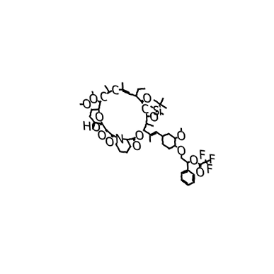 CCC1/C=C(\C)CC(C)CC(OC)C2OC(O)(C(=O)C(=O)N3CCCCC3C(=O)OC(C(C)=CC3CCC(OCC(OC(=O)C(F)(F)F)c4ccccc4)C(OC)C3)C(C)C(O[Si](C)(C)C(C)(C)C)CC1=O)C(C)CC2OC